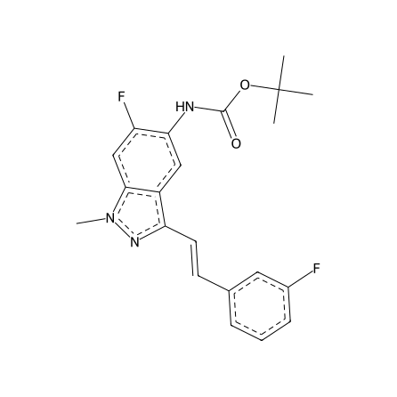 Cn1nc(/C=C/c2cccc(F)c2)c2cc(NC(=O)OC(C)(C)C)c(F)cc21